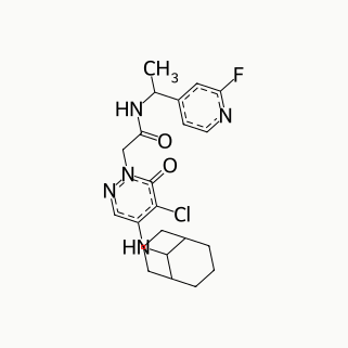 CC(NC(=O)Cn1ncc(NC2C3CCCC2CCC3)c(Cl)c1=O)c1ccnc(F)c1